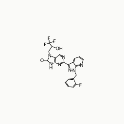 O=c1[nH]c2nc(-c3nn(Cc4ccccc4F)c4ncccc34)ncc2n1CC(O)C(F)(F)F